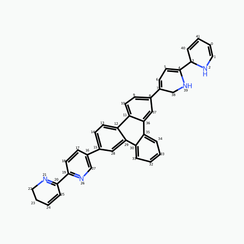 C1=CNC(C2=CC=C(c3ccc4c5ccc(-c6ccc(C7=NCCC=C7)nc6)cc5c5ccccc5c4c3)CN2)C=C1